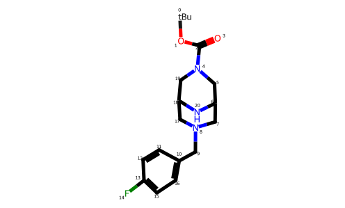 CC(C)(C)OC(=O)N1CC2CN(Cc3ccc(F)cc3)CC(C1)N2